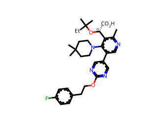 CCC(C)(C)O[C@H](C(=O)O)c1c(C)ncc(-c2cnc(OCCc3ccc(F)cc3)nc2)c1N1CCC(C)(C)CC1